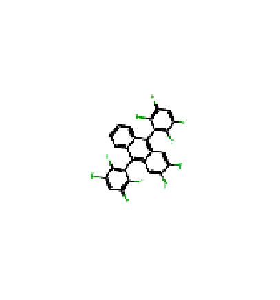 Fc1cc2c(-c3c(F)c(F)cc(F)c3F)c3ccccc3c(-c3c(F)c(F)cc(F)c3F)c2cc1F